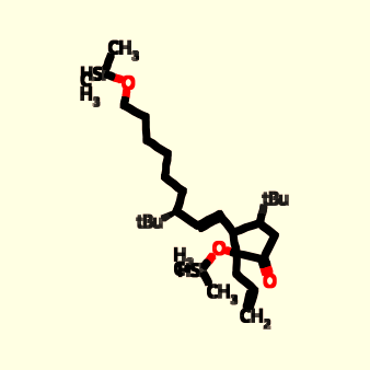 C=CCC1(O[SiH](C)C)C(=O)CC(C(C)(C)C)C1C=C[C@H](CCCCCCO[SiH](C)C)C(C)(C)C